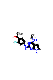 CNC(=O)c1ccc(Nc2nc(NCC(F)(F)F)c3cc[nH]c3n2)cc1F